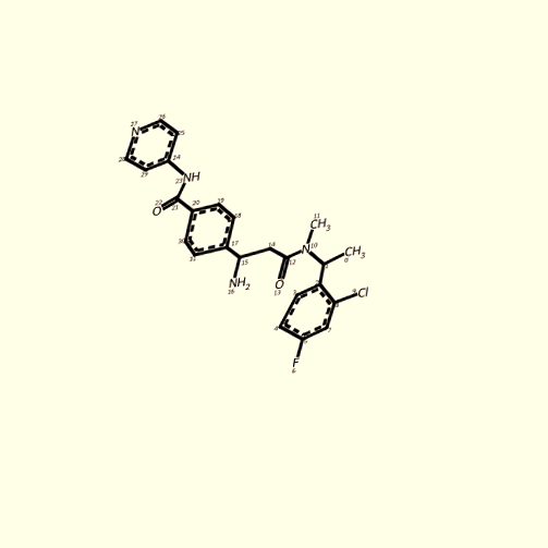 CC(c1ccc(F)cc1Cl)N(C)C(=O)CC(N)c1ccc(C(=O)Nc2ccncc2)cc1